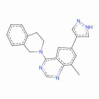 Cc1cc(-c2cn[nH]c2)cc2c(N3CCc4ccccc4C3)ncnc12